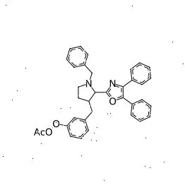 CC(=O)OOc1cccc(CC2CCN(Cc3ccccc3)C2c2nc(-c3ccccc3)c(-c3ccccc3)o2)c1